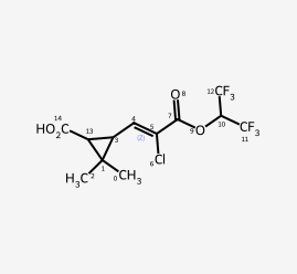 CC1(C)C(/C=C(\Cl)C(=O)OC(C(F)(F)F)C(F)(F)F)C1C(=O)O